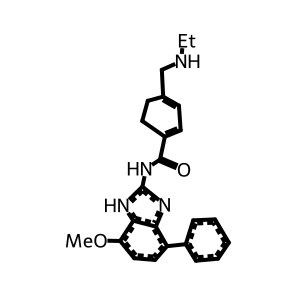 CCNCC1=CC=C(C(=O)Nc2nc3c(-c4ccccc4)ccc(OC)c3[nH]2)CC1